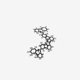 c1ccc2c(c1)c1ccccc1n2-c1ccc2c(c1)c1cccc3c4c5cccc6c7cc(-n8c9ccccc9c9ccccc98)ccc7n(c65)c4n2c13